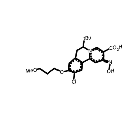 COCCCOc1cc2c(cc1Cl)-c1cc(=NO)c(C(=O)O)cn1C(C(C)(C)C)C2